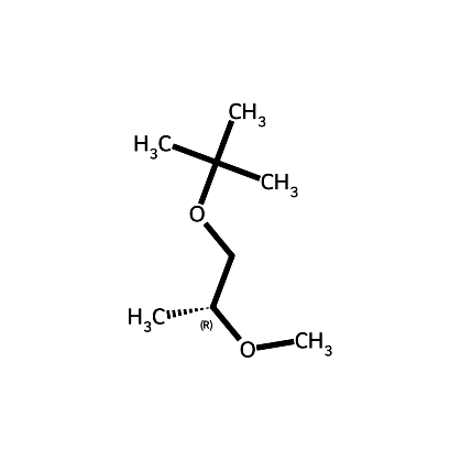 CO[C@H](C)COC(C)(C)C